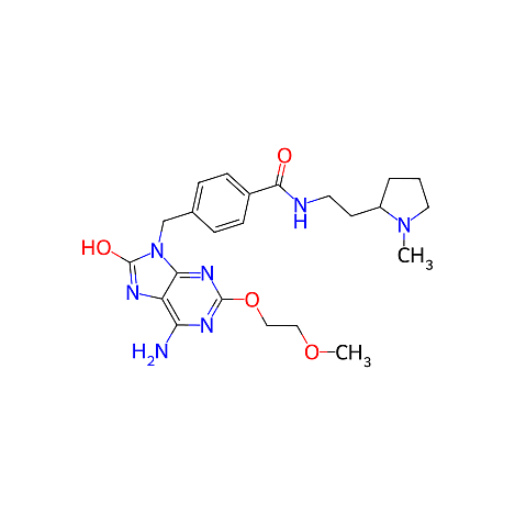 COCCOc1nc(N)c2nc(O)n(Cc3ccc(C(=O)NCCC4CCCN4C)cc3)c2n1